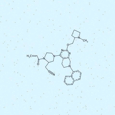 C=CC(=O)N1CCN(c2nc(OCC3CCCN3C)nc3c2CCN(c2cccc4ccccc24)C3)CC1CC#N